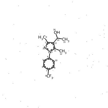 Cc1nn(-c2ccc(C(F)(F)F)cc2)c(C)c1C(C)O